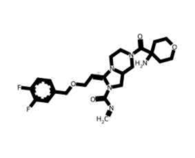 C=NC(=O)N1CC2CN(C(=O)C3(N)CCOCC3)CCN2/C1=C/COCc1ccc(F)c(F)c1